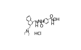 CCN(CC)CCc1cc(CNNC(=O)c2ccc(C(=O)NO)cc2)c2ccccc2c1.Cl